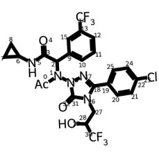 CC(=O)N(C(C(=O)NC1CC1)c1cccc(C(F)(F)F)c1)n1nc(-c2ccc(Cl)cc2)n(CC(O)C(F)(F)F)c1=O